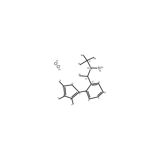 CC1=C(C)C(C)=C(c2ccccc2C(C)[N]([Ti+2])C(C)(C)C)C1.[Cl-].[Cl-]